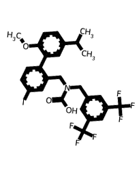 COc1ccc(C(C)C)cc1-c1ccc(I)cc1CN(Cc1cc(C(F)(F)F)cc(C(F)(F)F)c1)C(=O)O